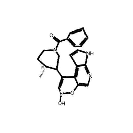 C[C@@H]1CCN(C(=O)c2ccccc2)CC1C1=CB(O)Oc2cnc3[nH]ccc3c21